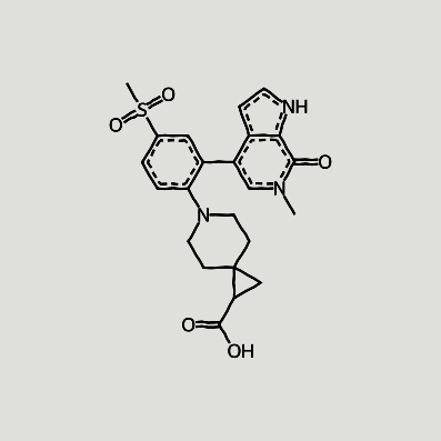 Cn1cc(-c2cc(S(C)(=O)=O)ccc2N2CCC3(CC2)CC3C(=O)O)c2cc[nH]c2c1=O